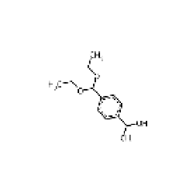 CCOC(OCC)c1ccc(C(C)O)cc1